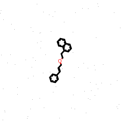 C(=C\c1ccccc1)/COCCc1cccc2ccccc12